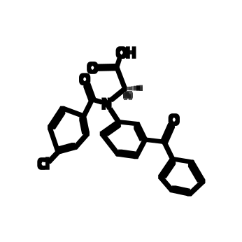 C[C@@H](C(=O)O)N(C(=O)c1ccc(Cl)cc1)c1cccc(C(=O)c2ccccc2)c1